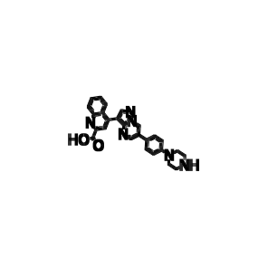 O=C(O)c1cc(-c2cnn3cc(-c4ccc(N5CCNCC5)cc4)cnc23)c2ccccc2n1